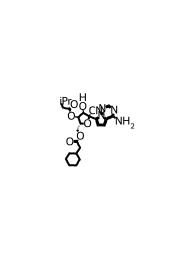 CC(C)CC(=O)O[C@H]1[C@@H](O)[C@](C#N)(c2ccc3c(N)ncnn23)O[C@@H]1COC(=O)CC1CCCCC1